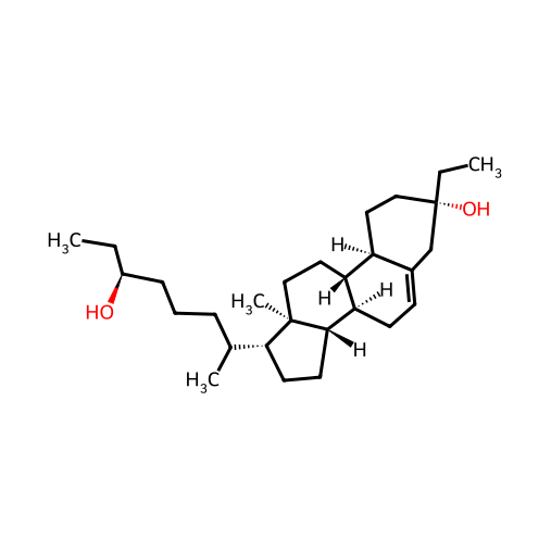 CC[C@H](O)CCCC(C)[C@H]1CC[C@H]2[C@@H]3CC=C4C[C@](O)(CC)CC[C@@H]4[C@H]3CC[C@]12C